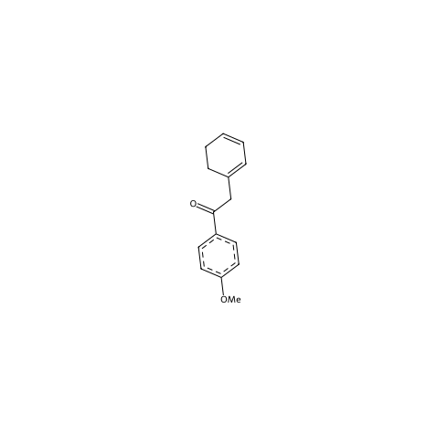 COc1ccc(C(=O)CC2=CC=CCC2)cc1